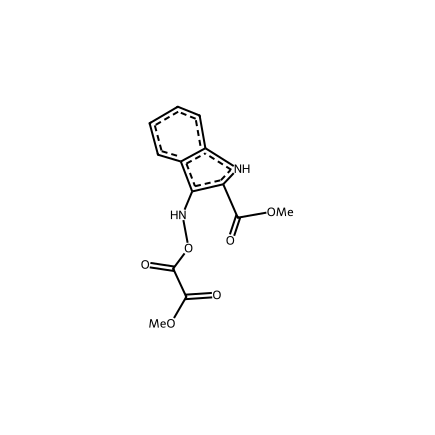 COC(=O)C(=O)ONc1c(C(=O)OC)[nH]c2ccccc12